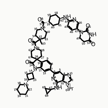 CC(C)n1cnc2cc(-c3ccc4c(c3)N([C@H]3C[C@@H](N5CCCCC5)C3)C(=O)C43CCN(C(=O)C4(C)CCN(C(=O)[C@H]5CC[C@H](Nc6ccc(N7CCC(=O)NC7=O)cn6)CC5)CC4)CC3)nc(NC3CC3)c21